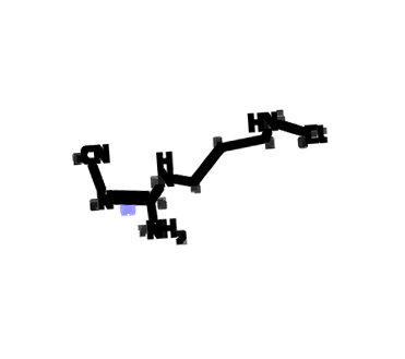 CCNCCCN/C(N)=N\C#N